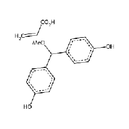 C=CC(=O)O.COC(c1ccc(O)cc1)c1ccc(O)cc1